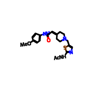 COc1ccc(NC(=O)C=C2CCN(Cc3cnc(NC(C)=O)s3)CC2)cc1